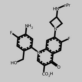 CCCNC1CN(c2cc3c(cc2F)c(=O)c(C(=O)O)cn3-c2cc(N)c(F)cc2CO)C1